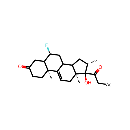 CC(=O)CC(=O)[C@@]1(O)[C@@H](C)CC2C3C[C@H](F)C4CC(=O)CC[C@]4(C)C3=CC[C@@]21C